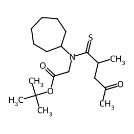 CC(=O)CC(C)C(=S)N(CC(=O)OC(C)(C)C)C1CCCCCC1